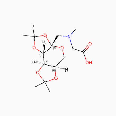 CN(CC(=O)O)C[C@@]12OC[C@H]3OC(C)(C)O[C@H]3[C@@H]1OC(C)(C)O2